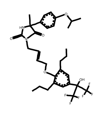 CCCc1cc(C(O)(C(F)(F)F)C(F)(F)F)cc(CCC)c1OC/C=C/CN1C(=O)NC(C)(c2ccc(OC(C)C)cc2)C1=O